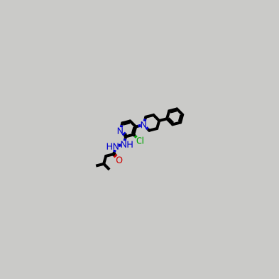 CC(C)CC(=O)NNc1nccc(N2CCC(c3ccccc3)CC2)c1Cl